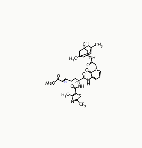 COC(=O)/C=C/CC[C@H](NC(=O)c1sc(C(F)(F)F)nc1C)C(=O)Nc1cccn(CC(=O)NC23CC4(C)CC(C)(CC(C)(C4)C2)C3)c1=O